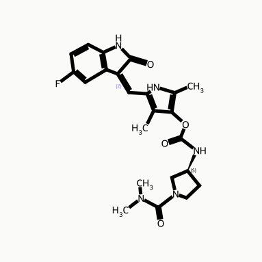 Cc1[nH]c(/C=C2\C(=O)Nc3ccc(F)cc32)c(C)c1OC(=O)N[C@H]1CCN(C(=O)N(C)C)C1